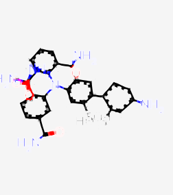 NC(=O)c1ccc(C(N)=O)c(N(c2ccc(-c3ccc(N)cc3S(=O)(=O)O)c(S(=O)(=O)O)c2)c2c(C(N)=O)cccc2C(N)=O)c1